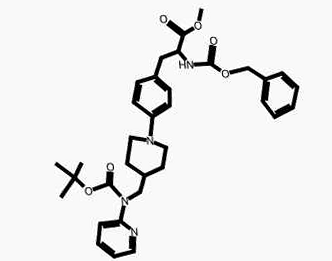 COC(=O)C(Cc1ccc(N2CCC(CN(C(=O)OC(C)(C)C)c3ccccn3)CC2)cc1)NC(=O)OCc1ccccc1